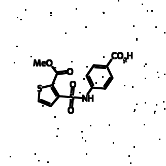 COC(=O)c1sccc1S(=O)(=O)Nc1ccc(C(=O)O)cc1